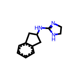 c1ccc2c(c1)CC(NC1=NCCN1)C2